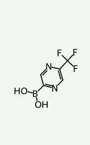 OB(O)c1cnc(C(F)(F)F)cn1